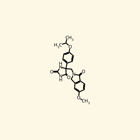 COc1ccc2c(c1)CN(CC1(c3ccc(OC(C)C)cc3)NC(=O)NC1=O)C2=O